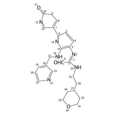 O=C/C(=N\c1ccc(C2=CCC(=O)N=C2)nc1NCc1cccnc1)NCCC1CCOCC1